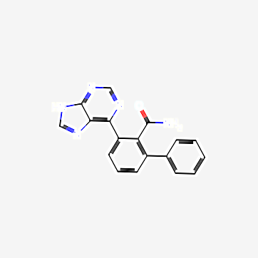 NC(=O)c1c(-c2ccccc2)cccc1-c1ncnc2[nH]cnc12